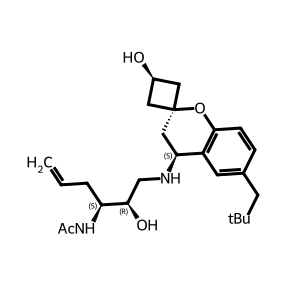 C=CC[C@H](NC(C)=O)[C@H](O)CN[C@H]1C[C@]2(C[C@H](O)C2)Oc2ccc(CC(C)(C)C)cc21